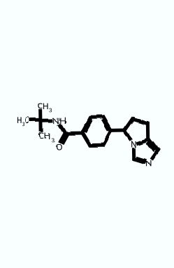 CC(C)(C)NC(=O)C1=CC=C(C2CCc3cncn32)CC1